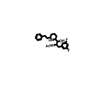 CC(=O)NC(Cc1cc(F)cc(F)c1)C(O)C1CCCC(CCc2ccccc2)N1